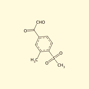 Cc1cc(C(=O)C=O)ccc1S(C)(=O)=O